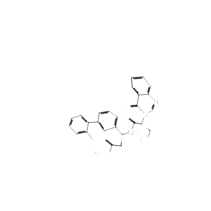 COC(=O)C[C@H](NC(=O)[C@H](CC(C)C)n1cnc2ccccc2c1=O)c1cccc(-c2ccccc2C)c1